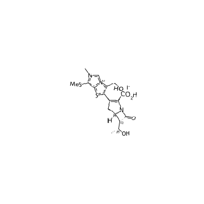 CSc1c2sc(C3=C(C(=O)O)N4C(=O)[C@H]([C@@H](C)O)[C@H]4C3)c(CO)[n+]2cn1C.[I-]